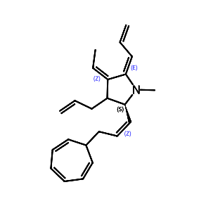 C=C/C=C1\C(=C/C)C(CC=C)[C@H](/C=C\CC2C=CC=CC=C2)N1C